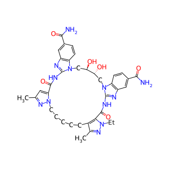 CCn1nc(C)c2c1C(=O)Nc1nc3cc(C(N)=O)ccc3n1C[C@@H](O)[C@H](O)Cn1c(nc3cc(C(N)=O)ccc31)NC(=O)c1cc(C)nn1CCCCC2